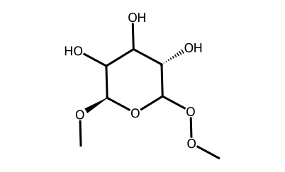 COOC1O[C@@H](OC)C(O)C(O)[C@@H]1O